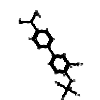 CC(Br)c1ccc(-c2ccc(OC(F)(F)F)c(F)c2)cn1